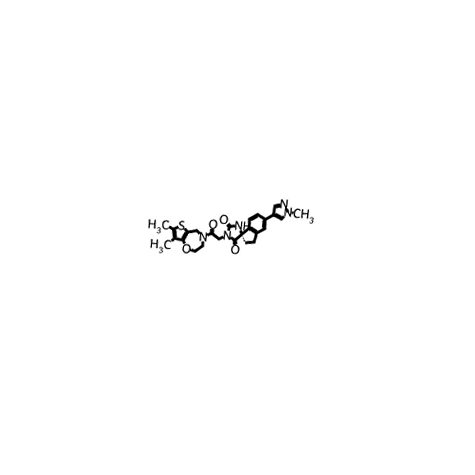 Cc1sc2c(c1C)OCCN(C(=O)CN1C(=O)N[C@]3(CCc4cc(-c5cnn(C)c5)ccc43)C1=O)C2